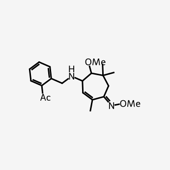 CO/N=C1\CC(C)(C)C(OC)C(NCc2ccccc2C(C)=O)C=C1C